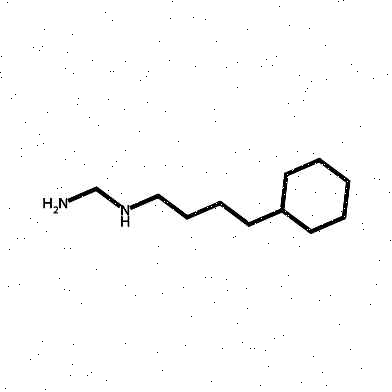 NCNCCCCC1CCCCC1